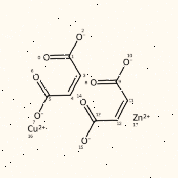 O=C([O-])/C=C\C(=O)[O-].O=C([O-])/C=C\C(=O)[O-].[Cu+2].[Zn+2]